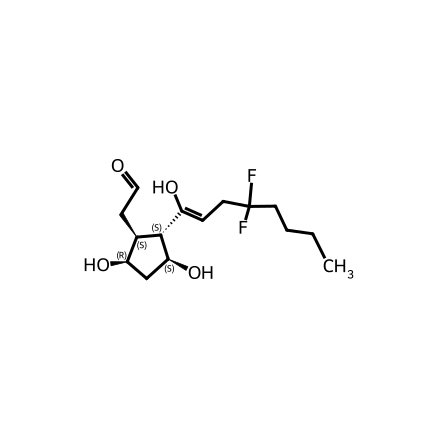 CCCCC(F)(F)CC=C(O)[C@H]1[C@H](CC=O)[C@H](O)C[C@@H]1O